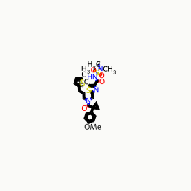 COc1ccc(C2(C(=O)N(CCCc3ccc(C)s3)Cc3nc(C(=O)NS(=O)(=O)N(C)C)c(C)s3)CC2)cc1